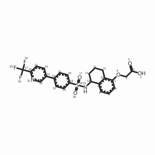 O=C(O)COc1cccc2c1CCCC2NS(=O)(=O)c1ccc(-c2ccc(C(F)(F)F)nc2)cc1